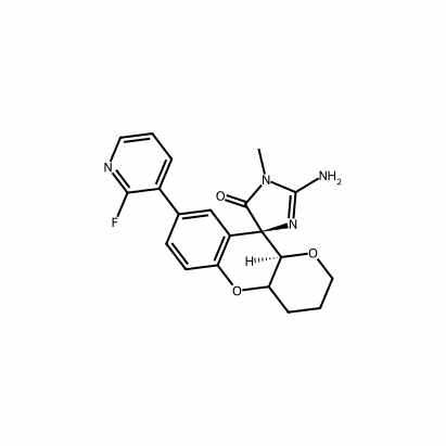 CN1C(=O)[C@@]2(N=C1N)c1cc(-c3cccnc3F)ccc1OC1CCCO[C@@H]12